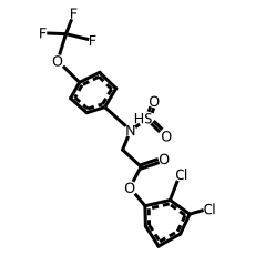 O=C(CN(c1ccc(OC(F)(F)F)cc1)[SH](=O)=O)Oc1cccc(Cl)c1Cl